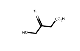 O=C(O)CC(=O)CO.[Ti]